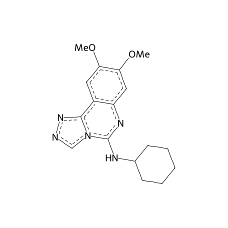 COc1cc2nc(NC3CCCCC3)n3cnnc3c2cc1OC